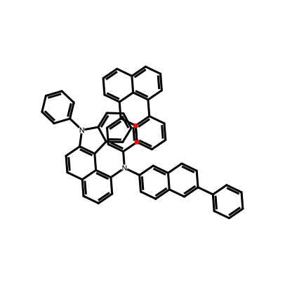 c1ccc(-c2ccc3cc(N(c4ccc(-c5cccc6cccc(-c7ccccc7)c56)cc4)c4cccc5ccc6c(c7ccccc7n6-c6ccccc6)c45)ccc3c2)cc1